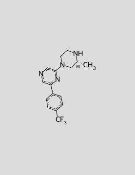 C[C@@H]1CN(c2cncc(-c3ccc(C(F)(F)F)cc3)n2)CCN1